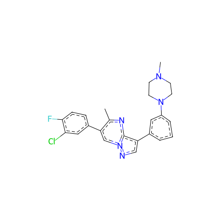 Cc1nc2c(-c3cccc(N4CCN(C)CC4)c3)cnn2cc1-c1ccc(F)c(Cl)c1